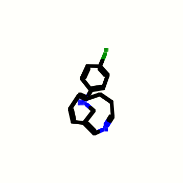 Fc1ccc(NCC2=C\N=C/CC/C=C/C=C\2)cc1